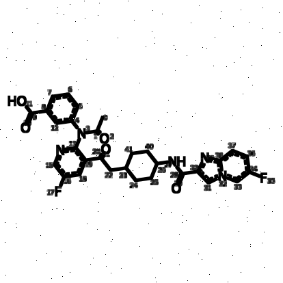 CC(=O)N(c1cccc(C(=O)O)c1)c1ncc(F)cc1C(=O)CC1CCC(NC(=O)c2cn3cc(F)ccc3n2)CC1